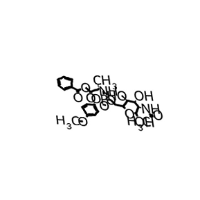 COc1ccc(OP(=O)(N[C@@H](C)C(=O)OC(=O)c2ccccc2)OCC2OC(O)[C@@H](NC(C)=O)[C@@H](O)[C@@H]2O)cc1